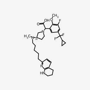 COc1c(F)cc(C(F)(F)C2CC2)cc1C(C(=O)O)N1CC[C@@H](N(C)CCCCCc2ccc3c(n2)NCCC3)C1